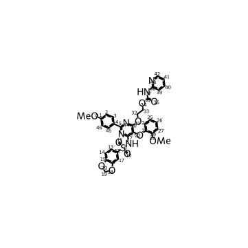 COc1ccc(-c2nc(NS(=O)(=O)c3ccc4c(c3)OCO4)c(Oc3ccccc3OC)c(OCCOC(=O)Nc3ccccn3)n2)cc1